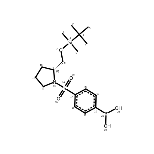 CC(C)(C)[Si](C)(C)OC[C@H]1CCCN1S(=O)(=O)c1ccc(B(O)O)cc1